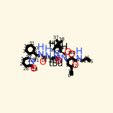 C#CCCC(NC(=O)[C@@H]1[C@@H]2[C@H](CN1C(=O)[C@@H](NC(=O)N[C@H](CN1CCCCC1=O)C1CCCCC1)C(C)(C)C)C2(C)C)C(=O)C(=O)NCC=C